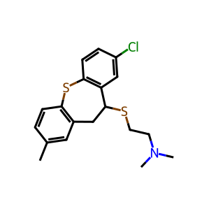 Cc1ccc2c(c1)CC(SCCN(C)C)c1cc(Cl)ccc1S2